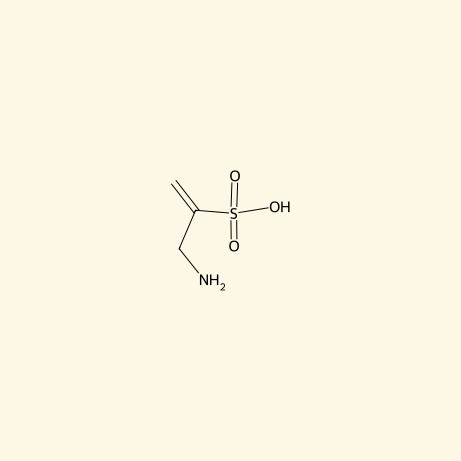 C=C(CN)S(=O)(=O)O